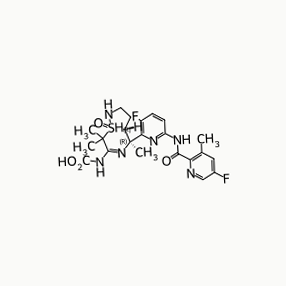 Cc1cc(F)cnc1C(=O)Nc1ccc(F)c([C@@]2(C)N=C(NC(=O)O)C(C)(C)[SH]3(=O)NCC[C@H]23)n1